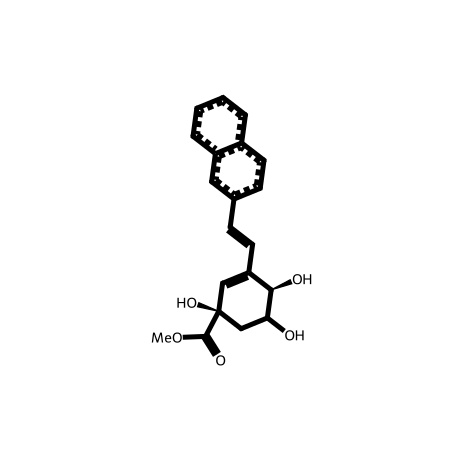 COC(=O)[C@]1(O)C=C(/C=C/c2ccc3ccccc3c2)[C@@H](O)C(O)C1